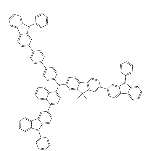 CC1(C)c2cc(-c3ccc4c5ccccc5n(-c5ccccc5)c4c3)ccc2-c2ccc(N(c3ccc(-c4ccc(-c5ccc6c7ccccc7n(-c7ccccc7)c6c5)cc4)cc3)c3ccc(-c4ccc5c(c4)c4ccccc4n5-c4ccccc4)c4ccccc34)cc21